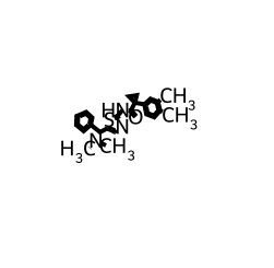 Cc1ccc(C2(C(=O)Nc3ncc([C@H](c4ccccc4)N(C)C)s3)CC2)cc1C